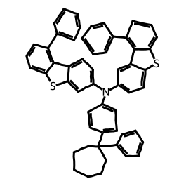 c1ccc(-c2cccc3sc4cc(N(c5ccc(C6(c7ccccc7)CCCCCC6)cc5)c5ccc6sc7cccc(-c8ccccc8)c7c6c5)ccc4c23)cc1